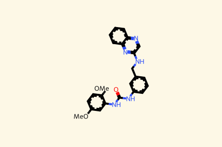 COc1ccc(OC)c(NC(=O)Nc2cccc(CNc3cnc4ccccc4n3)c2)c1